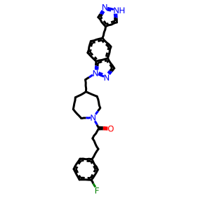 O=C(CCc1cccc(F)c1)N1CCCC(Cn2ncc3cc(-c4cn[nH]c4)ccc32)CC1